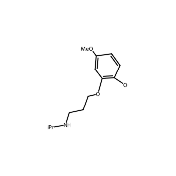 COc1ccc([O])c(OCCCNC(C)C)c1